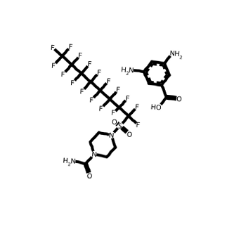 NC(=O)N1CCN(S(=O)(=O)C(F)(F)C(F)(F)C(F)(F)C(F)(F)C(F)(F)C(F)(F)C(F)(F)C(F)(F)F)CC1.Nc1cc(N)cc(C(=O)O)c1